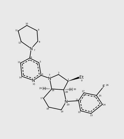 CC[C@@H]1CN(c2cc(N3CCCCC3)ccn2)[C@@H]2CCCN(c3cccc(F)c3)[C@H]12